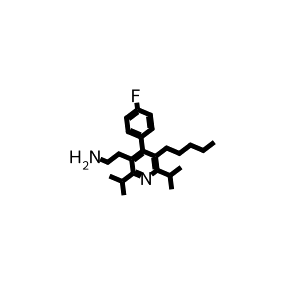 CCCCCc1c(C(C)C)nc(C(C)C)c(CCN)c1-c1ccc(F)cc1